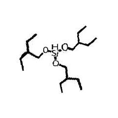 CCC(CC)CO[SiH](OCC(CC)CC)OCC(CC)CC